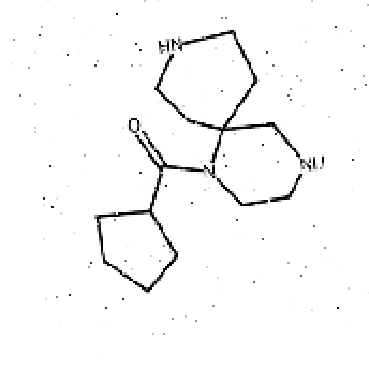 O=C(C1CCCC1)N1CCNCC12CCNCC2